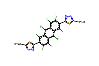 CCCCCc1nnc(-c2c(F)c(F)c3c(F)c4c(F)c(-c5nnc(CCCCC)s5)c(F)c(F)c4c(F)c3c2F)s1